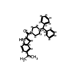 CC(C)c1ccc2[nH]c(C(=O)N3CCN(C(c4ccccc4)c4ccccc4)CC3)cc2c1